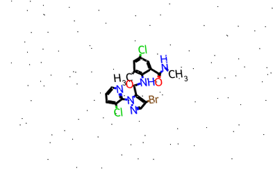 CNC(=O)c1cc(Cl)cc(C)c1NC(=O)c1c(Br)cnn1-c1ncccc1Cl